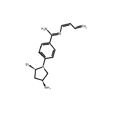 C=C/C=C\N=C(/N)c1ccc(N2C[C@@H](N)C[C@H]2CC)cc1